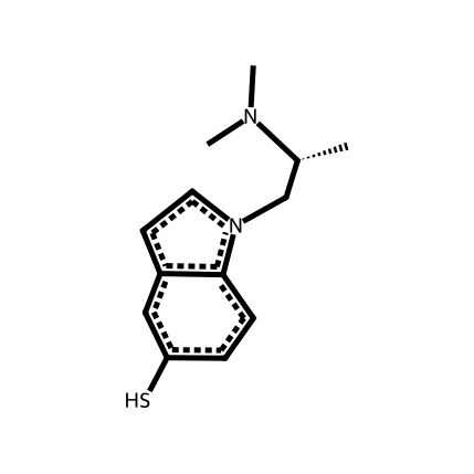 C[C@H](Cn1ccc2cc(S)ccc21)N(C)C